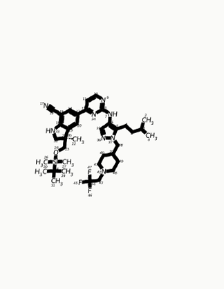 CC(C)CCc1c(Nc2nccc(-c3cc(C#N)c4c(c3)[C@@](C)(CO[Si](C)(C)C(C)(C)C)CN4)n2)cnn1CC1CCN(CC(F)(F)F)CC1